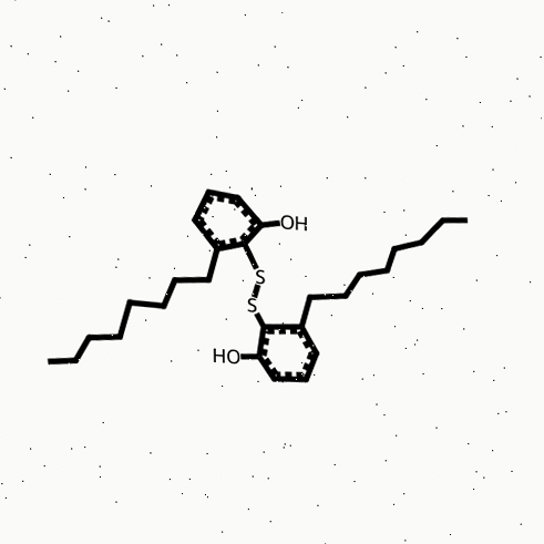 CCCCCCCCc1cccc(O)c1SSc1c(O)cccc1CCCCCCCC